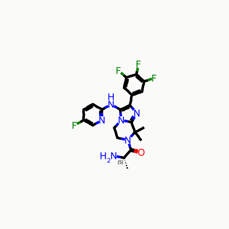 C[C@H](N)C(=O)N1CCn2c(nc(-c3cc(F)c(F)c(F)c3)c2Nc2ccc(F)cn2)C1(C)C